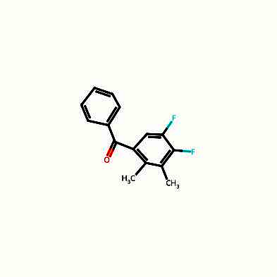 Cc1c(C(=O)c2ccccc2)cc(F)c(F)c1C